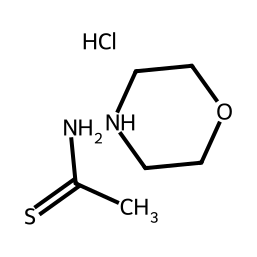 C1COCCN1.CC(N)=S.Cl